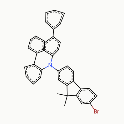 CC1(C)c2cc(Br)ccc2-c2ccc(N(c3ccc(-c4ccccc4)cc3)c3ccccc3-c3ccccc3)cc21